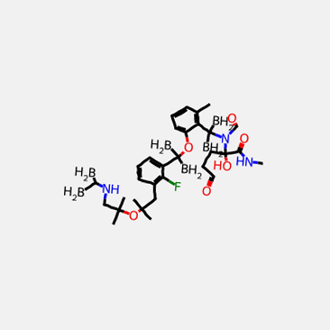 BC(B)NCC(C)(C)OC(C)(C)Cc1cccc(C(B)(B)Oc2cccc(C)c2C(B)(B)N(C=O)C(O)(CCC=O)C(=O)NC)c1F